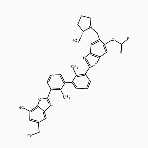 Cc1c(-c2nc3cc(CN4CCC[C@H]4C(=O)O)c(OC(F)F)cc3o2)cccc1-c1cccc(-c2nc3cc(CCl)cc(C#N)c3o2)c1C